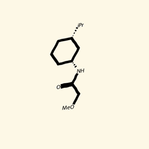 COCC(=O)N[C@@H]1CCC[C@H](C(C)C)C1